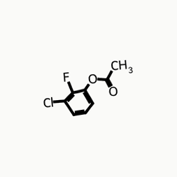 CC(=O)Oc1cccc(Cl)c1F